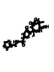 CC1(C)C(=N)N[C@](C)(c2sc(C(=O)NCc3cnsn3)cc2Cl)CS1(=O)=O